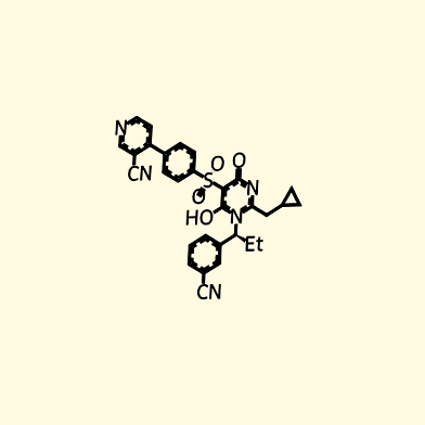 CC[C@@H](c1cccc(C#N)c1)n1c(CC2CC2)nc(=O)c(S(=O)(=O)c2ccc(-c3ccncc3C#N)cc2)c1O